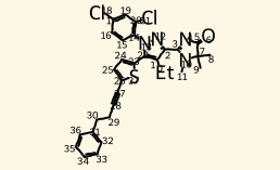 CCc1c(C2=NC(=O)C(C)(C)N2C)nn(-c2ccc(Cl)cc2Cl)c1-c1ccc(C#CCCc2ccccc2)s1